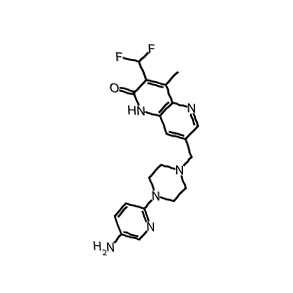 Cc1c(C(F)F)c(=O)[nH]c2cc(CN3CCN(c4ccc(N)cn4)CC3)cnc12